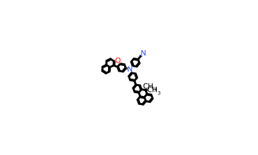 CC1(C)c2cc(-c3ccc(N(c4ccc(C#N)cc4)c4ccc5c(c4)oc4ccc6ccccc6c45)cc3)ccc2-c2cccc3cccc1c23